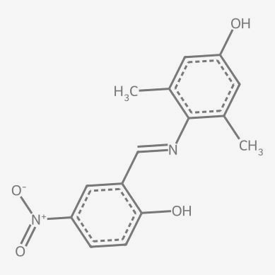 Cc1cc(O)cc(C)c1/N=C/c1cc([N+](=O)[O-])ccc1O